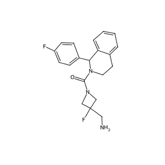 NCC1(F)CN(C(=O)N2CCc3ccccc3C2c2ccc(F)cc2)C1